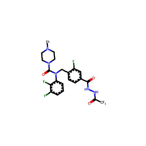 CCN1CCN(C(=O)N(Cc2ccc(C(=O)NNC(=O)C(F)(F)F)cc2F)c2cccc(F)c2F)CC1